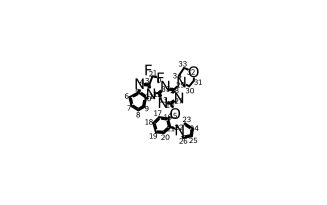 FC(F)c1nc2ccccc2n1-c1nc(Oc2ccccc2-n2cccc2)nc(N2CCOCC2)n1